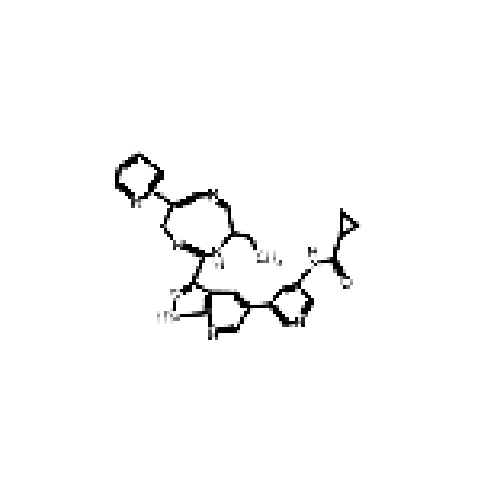 CCC1/C=N\C=C(\c2ccccn2)C/N=C(/c2n[nH]c3ncc(-c4cncc(NC(=O)C5CC5)c4)cc23)N1